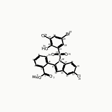 COC(=O)c1ccccc1-c1cc2cc(Cl)ccc2n1S(=O)(=O)c1cc(Br)cc(Cl)c1O